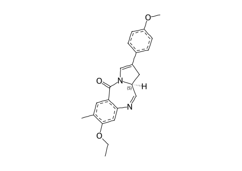 CCOc1cc2c(cc1C)C(=O)N1C=C(c3ccc(OC)cc3)C[C@H]1C=N2